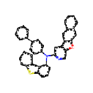 c1ccc(-c2ccc(N(c3cc4c(cn3)oc3cc5ccccc5cc34)c3cccc4sc5ccccc5c34)cc2)cc1